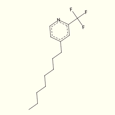 CCCCCCCCc1ccnc(C(F)(F)F)c1